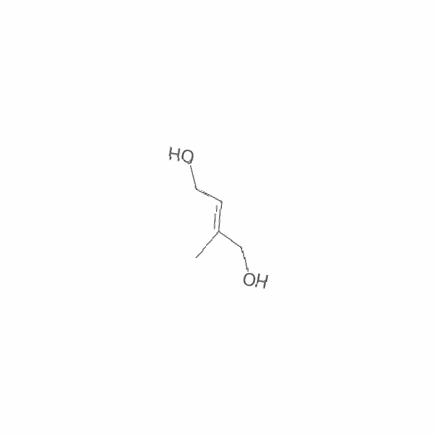 C/C(=C\CO)CO